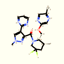 C[C@@H]1CC(F)(F)CN(C(=O)c2nn(C)cc2-c2ncccn2)[C@@H]1COc1cnc(C(F)(F)F)cn1